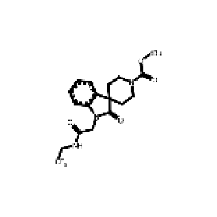 CC(C)(C)OC(=O)N1CCC2(CC1)C(=O)N(CC(=O)NCC(F)(F)F)c1ccccc12